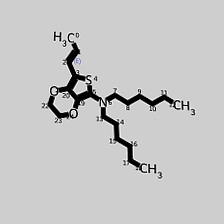 C/C=C/c1sc(N(CCCCCC)CCCCCC)c2c1OCCO2